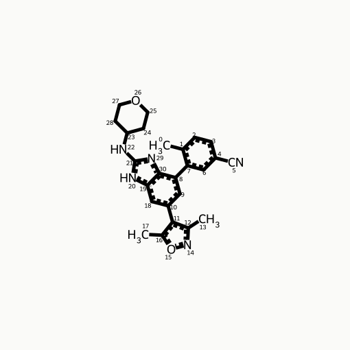 Cc1ccc(C#N)cc1-c1cc(-c2c(C)noc2C)cc2[nH]c(NC3CCOCC3)nc12